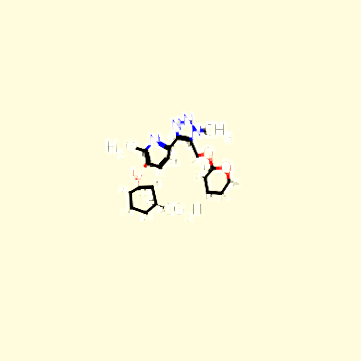 Cc1nc(-c2nnn(C)c2COC2CCCCO2)ccc1O[C@H]1CCC[C@H](C(=O)O)C1